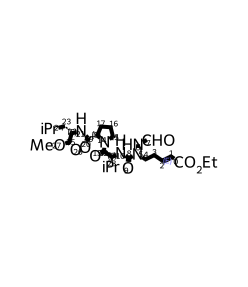 CCOC(=O)/C=C/CCN(NC=O)C(=O)N[C@H](C(=O)N1CCC[C@H]1C(=O)N[C@@H](CC(C)C)C(=O)OC)C(C)C